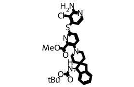 COC(=O)c1nc(Sc2ccnc(N)c2Cl)ccc1N1CCC2(CC1)Cc1ccccc1[C@H]2NC(=O)OC(C)(C)C